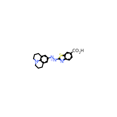 O=C(O)c1ccc2nc(/N=N/c3cc4c5c(c3)CCCN5CCC4)sc2c1